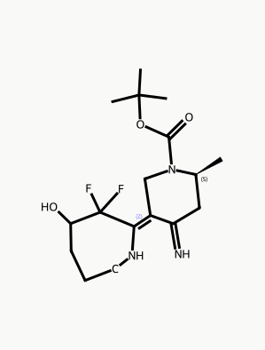 C[C@H]1CC(=N)/C(=C2\NCCCC(O)C2(F)F)CN1C(=O)OC(C)(C)C